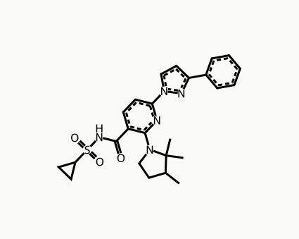 CC1CCN(c2nc(-n3ccc(-c4ccccc4)n3)ccc2C(=O)NS(=O)(=O)C2CC2)C1(C)C